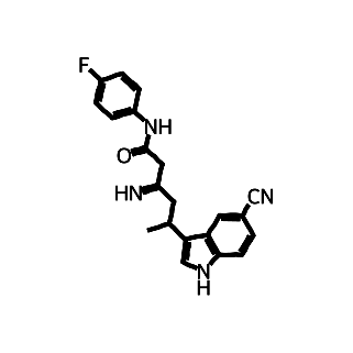 CC(CC(=N)CC(=O)Nc1ccc(F)cc1)c1c[nH]c2ccc(C#N)cc12